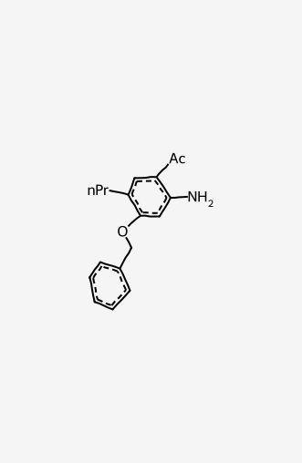 CCCc1cc(C(C)=O)c(N)cc1OCc1ccccc1